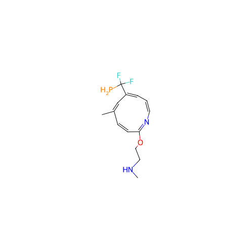 CNCCOc1ccc(C)cc(C(F)(F)P)cccn1